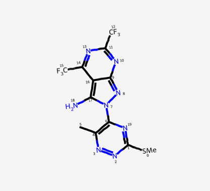 CSc1nnc(C)c(-n2nc3nc(C(F)(F)F)nc(C(F)(F)F)c3c2N)n1